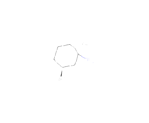 CCC[C@H]1CCC[C@@](C)(N)C1